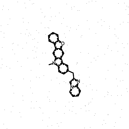 Cn1c2ccc(Cc3cn4ccccc4n3)cc2c2cc3oc4ccccc4c3cc21